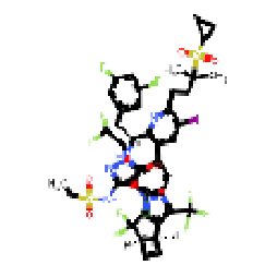 CCS(=O)(=O)Nc1nn(CC(F)F)c2c(-c3cc(I)c(CCC(C)(C)S(=O)(=O)C4CC4)nc3[C@H](Cc3cc(F)cc(F)c3)NC(=O)Cn3nc(C(F)(F)F)c4c3C(F)(F)[C@@H]3C=C[C@H]43)ccc(Cl)c12